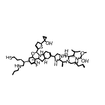 CCCCCN(C(C)C1NCC(C2=CC[C@H]3[C@@H](C2)CC2[C@H]4C(F)=C[C@@H](C(CCCS)CNCCC)CC4OC(C4=CCC(C5(O)CC5)S4)N23)N1)C(O)[C@@H](NC(O)OC)C(C)C